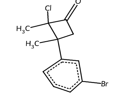 CC1(Cl)C(=O)CC1(C)c1cccc(Br)c1